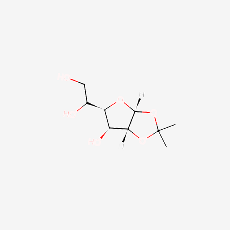 CC1(C)O[C@H]2O[C@H](C(O)CO)[C@H](O)[C@H]2O1